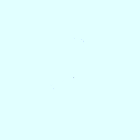 CCN(CCCC[Si](C)(OC)OC[SiH](C)C)C(C)(C)C